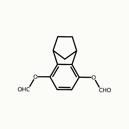 O=COc1ccc(OC=O)c2c1C1CCC2C1